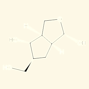 OC[C@@H]1C[C@H]2[C@H](CO[C@@H]2O)[C@H]1O